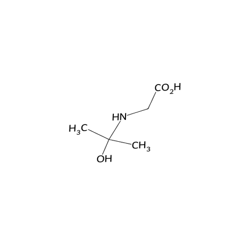 CC(C)(O)NCC(=O)O